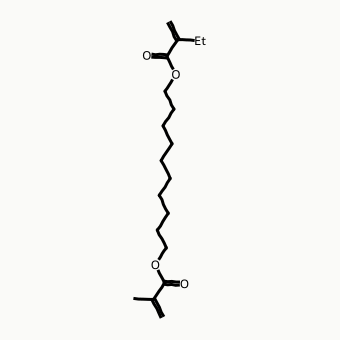 C=C(C)C(=O)OCCCCCCCCCCOC(=O)C(=C)CC